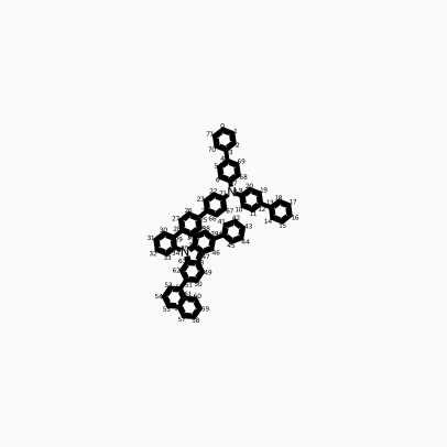 c1ccc(-c2ccc(N(c3ccc(-c4ccccc4)cc3)c3ccc(-c4ccc(-c5ccccc5-n5c6ccc(-c7ccccc7)cc6c6ccc(-c7cccc8ccccc78)cc65)cc4)cc3)cc2)cc1